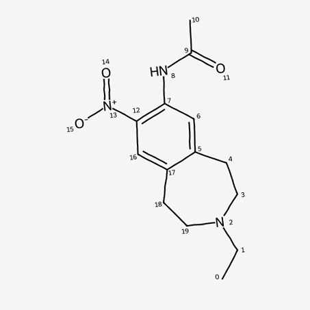 CCN1CCc2cc(NC(C)=O)c([N+](=O)[O-])cc2CC1